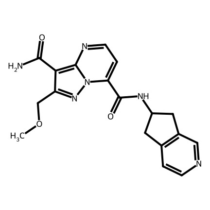 COCc1nn2c(C(=O)NC3Cc4ccncc4C3)ccnc2c1C(N)=O